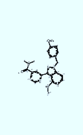 COc1ccc(Cn2nc(-c3cc(C(=O)N(C)C)ncn3)c3c(NC(C)C)nccc32)cc1